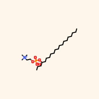 CCCCCCCCCCCCCCCCC(CCC)OP(=O)(O)OCC[N+](C)(C)C